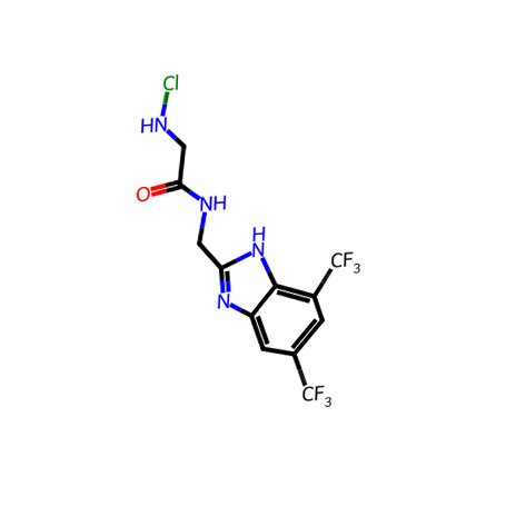 O=C(CNCl)NCc1nc2cc(C(F)(F)F)cc(C(F)(F)F)c2[nH]1